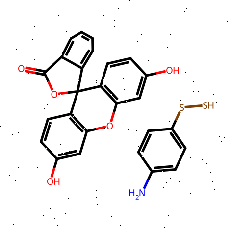 Nc1ccc(SS)cc1.O=C1OC2(c3ccc(O)cc3Oc3cc(O)ccc32)c2ccccc21